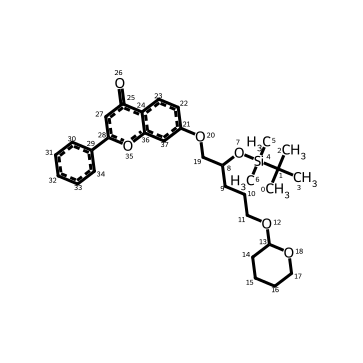 CC(C)(C)[Si](C)(C)OC(CCCOC1CCCCO1)COc1ccc2c(=O)cc(-c3ccccc3)oc2c1